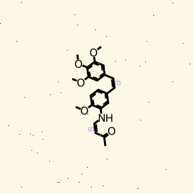 COc1ccc(/C=C\c2cc(OC)c(OC)c(OC)c2)cc1N/C=C\C(C)=O